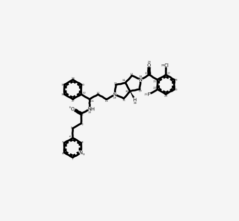 O=C(CCc1cccnc1)NC(CCN1CC2CN(C(=O)c3c(F)cccc3Cl)C[C@@H]2C1)c1ccccc1